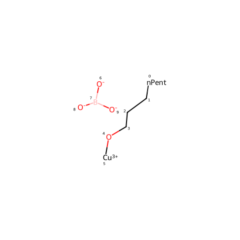 CCCCCCCC[O][Cu+3].[O-]B([O-])[O-]